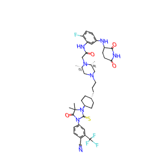 C[C@@H]1CN(CCC[C@H]2CC[C@H](N3C(=S)N(c4ccc(C#N)c(C(F)(F)F)c4)C(=O)C3(C)C)CC2)C[C@H](C)N1CC(=O)Nc1cc(NC2CCC(=O)NC2=O)ccc1F